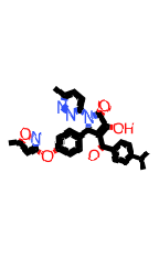 Cc1ccc(N2C(=O)C(O)=C(C(=O)c3ccc(C(C)C)cc3)C2c2ccc(Oc3cc(C)on3)cc2)nn1